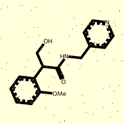 COc1ccccc1C(CO)C(=O)NCc1ccncc1